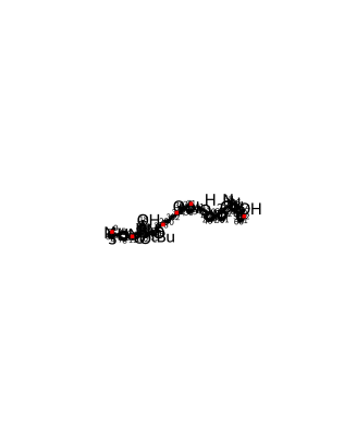 Cc1ncsc1-c1ccc(C(C)NC(=O)C2CC(O)CN2C(=O)C(NC(=O)CCCCCCCCC(=O)N2CCN(CCOc3cccc(N4CCCC(Oc5cc(-c6ccccc6O)nnc5N)C4)c3)CC2)C(C)(C)C)cc1